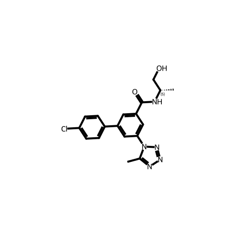 Cc1nnnn1-c1cc(C(=O)N[C@@H](C)CO)cc(-c2ccc(Cl)cc2)c1